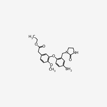 Bc1ccc(Oc2cc(CC(=O)OCC)ccc2OC)c(CN2CCNC2=O)c1